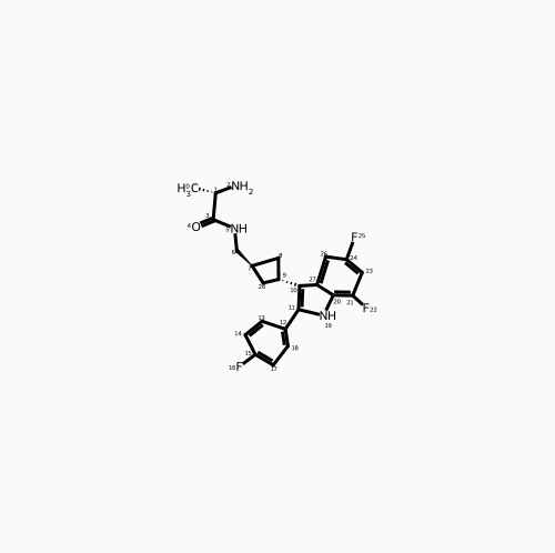 C[C@H](N)C(=O)NC[C@H]1C[C@H](c2c(-c3ccc(F)cc3)[nH]c3c(F)cc(F)cc32)C1